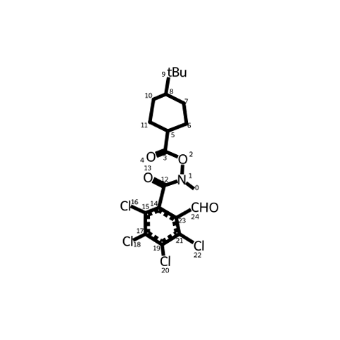 CN(OC(=O)C1CCC(C(C)(C)C)CC1)C(=O)c1c(Cl)c(Cl)c(Cl)c(Cl)c1C=O